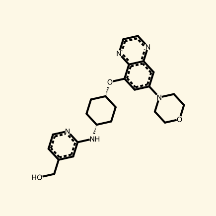 OCc1ccnc(N[C@H]2CC[C@@H](Oc3cc(N4CCOCC4)cc4nccnc34)CC2)c1